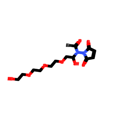 CCC(=O)N(C(O)COCCOCCOCCO)N1C(=O)C=CC1=O